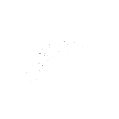 CN(C)[C@@H]1C(O)=C(C(N)=O)C(=O)[C@@]2(O)C(O)=C3C(=O)c4c(O)c(NC(=O)CNc5ccccc5)cc(F)c4C[C@H]3C[C@@H]12